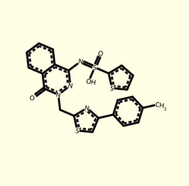 Cc1ccc(-c2csc(Cn3nc(N=S(=O)(O)c4cccs4)c4ccccc4c3=O)n2)cc1